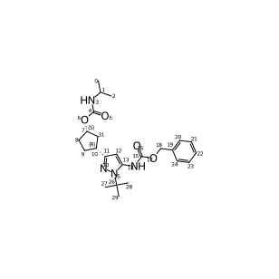 CC(C)NC(=O)O[C@H]1CC[C@@H](c2cc(NC(=O)OCc3ccccc3)n(C(C)(C)C)n2)C1